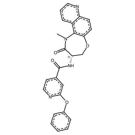 CN1C(=O)[C@@H](NC(=O)c2ccnc(Oc3ccccc3)c2)COc2ccc3ncccc3c21